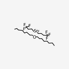 CCCCCCCCOCCCCCCCC.FC(F)(F)CC[CH2][Sn][CH2]CCC(F)(F)F